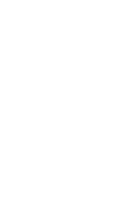 SCCCCCSCC(CS)SCCCCCS